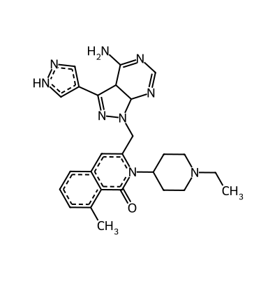 CCN1CCC(n2c(CN3N=C(c4cn[nH]c4)C4C(N)=NC=NC43)cc3cccc(C)c3c2=O)CC1